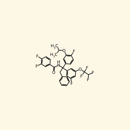 CC(C)Oc1cc(C(Cc2ccccc2)(NC(=O)c2ccc(F)c(F)c2)c2cc(F)cc(OC(F)(F)C(F)F)c2)ccc1F